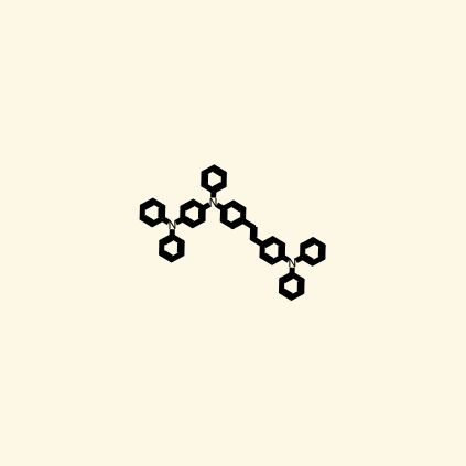 C(=C\c1ccc(N(c2ccccc2)c2ccc(N(c3ccccc3)c3ccccc3)cc2)cc1)/c1ccc(N(c2ccccc2)c2ccccc2)cc1